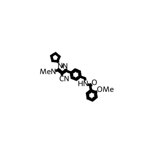 CNc1c(C#N)c(-c2ccc(CNC(=O)c3ccccc3OC)cc2)nn1C1CCCC1